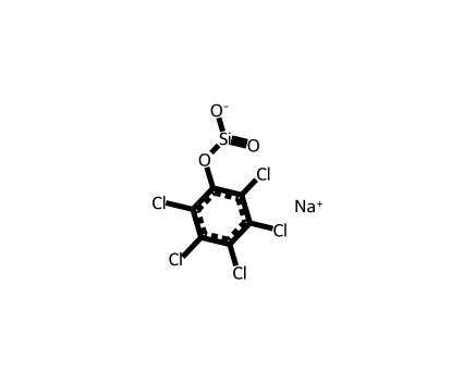 O=[Si]([O-])Oc1c(Cl)c(Cl)c(Cl)c(Cl)c1Cl.[Na+]